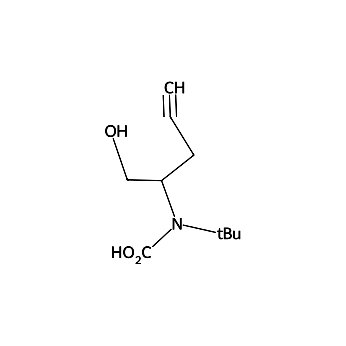 C#CCC(CO)N(C(=O)O)C(C)(C)C